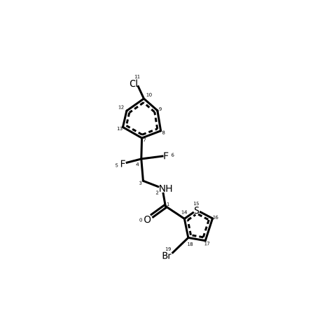 O=C(NCC(F)(F)c1ccc(Cl)cc1)c1sccc1Br